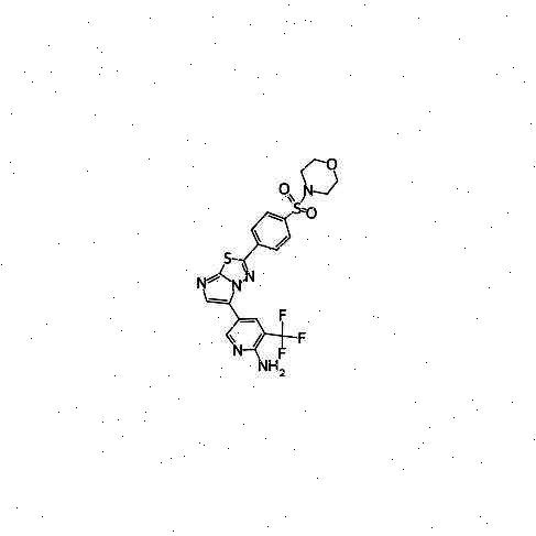 Nc1ncc(-c2cnc3sc(-c4ccc(S(=O)(=O)N5CCOCC5)cc4)nn23)cc1C(F)(F)F